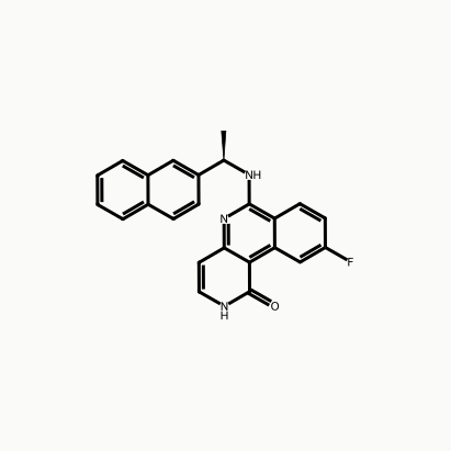 C[C@@H](Nc1nc2cc[nH]c(=O)c2c2cc(F)ccc12)c1ccc2ccccc2c1